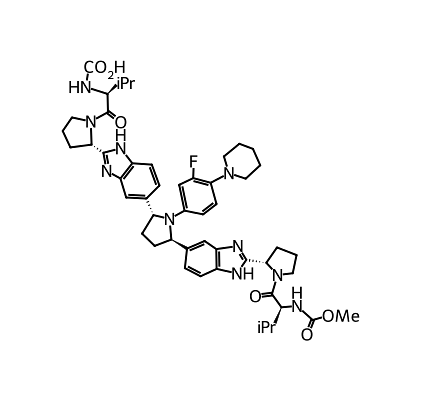 COC(=O)N[C@H](C(=O)N1CCC[C@H]1c1nc2cc([C@H]3CC[C@H](c4ccc5[nH]c([C@@H]6CCCN6C(=O)[C@@H](NC(=O)O)C(C)C)nc5c4)N3c3ccc(N4CCCCC4)c(F)c3)ccc2[nH]1)C(C)C